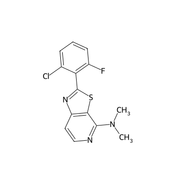 CN(C)c1nccc2nc(-c3c(F)cccc3Cl)sc12